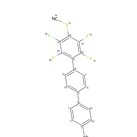 CCCCCc1ccc(-c2ccc(-c3c(F)c(F)c(SC#N)c(F)c3F)cc2)cc1